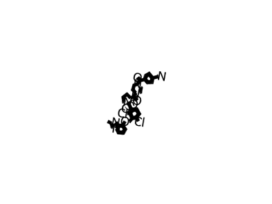 Cc1cn2cccc(OCc3c(Cl)ccc(S(=O)(=O)N4CCCC4C(=O)N4CCN(C(=O)c5ccc(C#N)cc5)CC4)c3Cl)c2n1